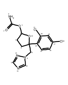 NC(=O)OC1CCC(Cn2cncn2)(c2ccc(Cl)cc2Cl)O1